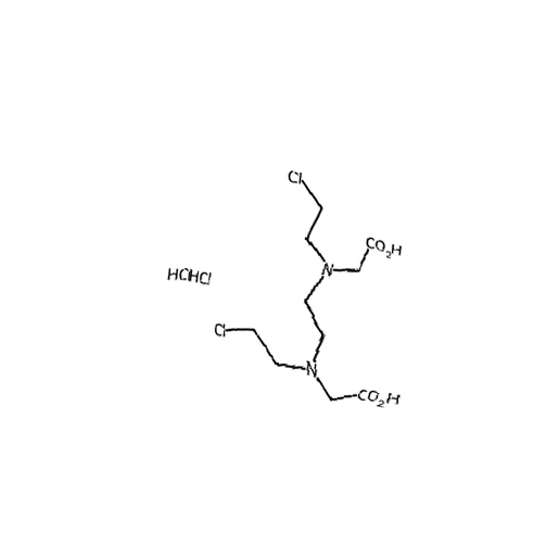 Cl.Cl.O=C(O)CN(CCCl)CCN(CCCl)CC(=O)O